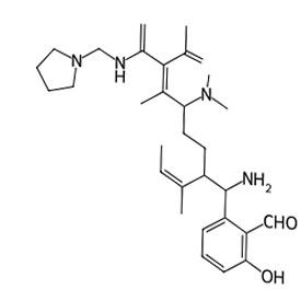 C=C(C)/C(C(=C)NCN1CCCC1)=C(/C)C(CCC(/C(C)=C\C)C(N)c1cccc(O)c1C=O)N(C)C